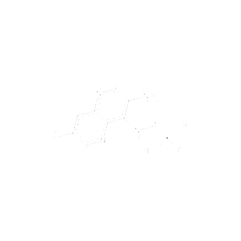 CC(C)(F)CNc1c([N+](=O)[O-])cnc2cc(Br)cnc12